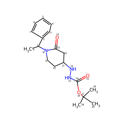 CC(c1ccccc1)N1CCC(NNC(=O)OC(C)(C)C)CC1=O